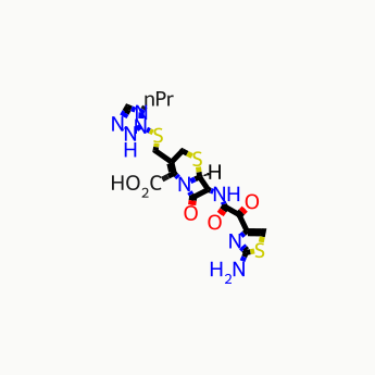 CCCN1C=NNN1SCC1=C(C(=O)O)N2C(=O)C(NC(=O)C(=O)c3csc(N)n3)[C@@H]2SC1